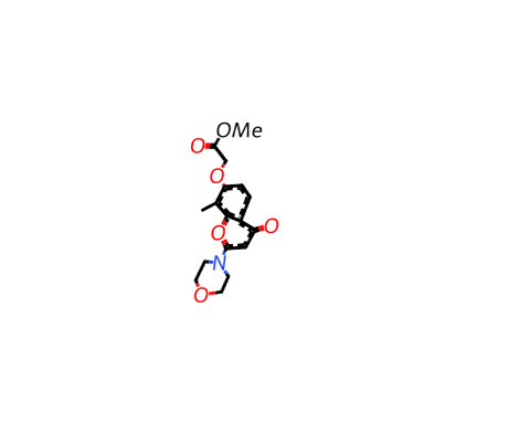 COC(=O)COc1ccc2c(=O)cc(N3CCOCC3)oc2c1C